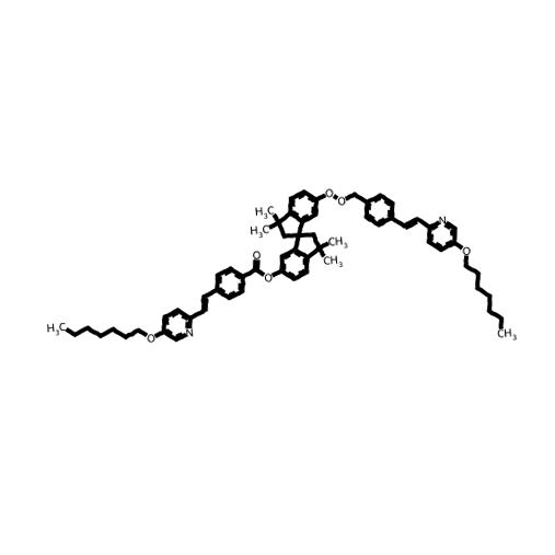 CCCCCCCOc1ccc(/C=C/c2ccc(COOc3ccc4c(c3)C3(CC4(C)C)CC(C)(C)c4ccc(OC(=O)c5ccc(/C=C/c6ccc(OCCCCCCC)cn6)cc5)cc43)cc2)nc1